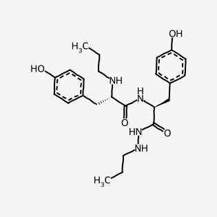 CCCNNC(=O)[C@H](Cc1ccc(O)cc1)NC(=O)[C@H](Cc1ccc(O)cc1)NCCC